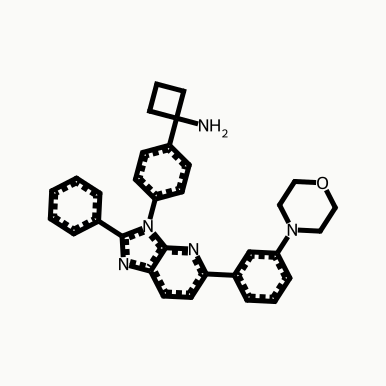 NC1(c2ccc(-n3c(-c4ccccc4)nc4ccc(-c5cccc(N6CCOCC6)c5)nc43)cc2)CCC1